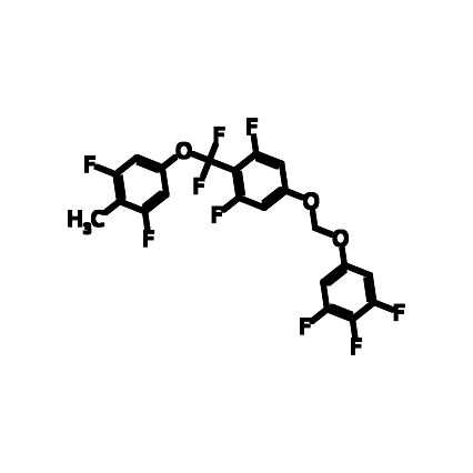 Cc1c(F)cc(OC(F)(F)c2c(F)cc(OCOc3cc(F)c(F)c(F)c3)cc2F)cc1F